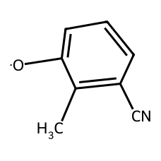 Cc1c([O])cccc1C#N